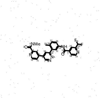 CNC(=O)c1cc(-c2cnnc(-c3cc(NC(=O)c4ccnc(C(F)F)c4)ccc3C)c2)ccn1